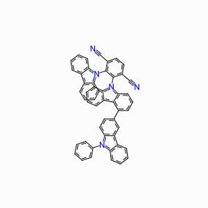 N#Cc1ccc(C#N)c(-n2c3ccccc3c3c(-c4ccc5c(c4)c4ccccc4n5-c4ccccc4)cccc32)c1-n1c2ccccc2c2ccccc21